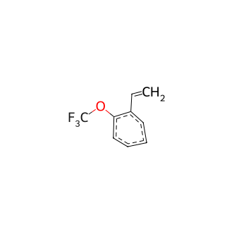 C=Cc1ccccc1OC(F)(F)F